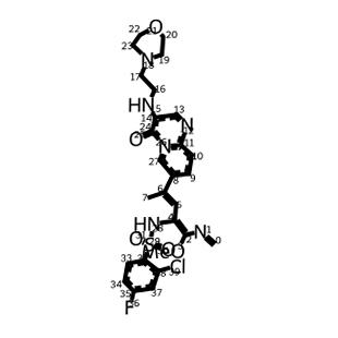 C=N/C(OC)=C(\C=C(/C)c1ccc2ncc(NCCN3CCOCC3)c(=O)n2c1)NS(=O)(=O)c1ccc(F)cc1Cl